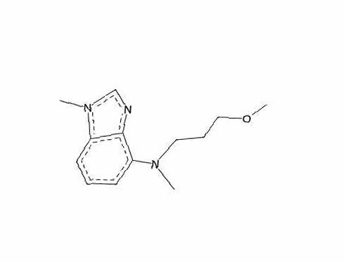 COCCCN(C)c1cccc2c1ncn2C